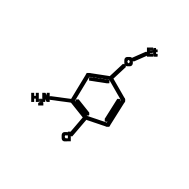 CCOc1ccc(Cl)c(N)c1